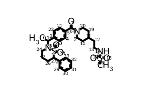 CC(c1ccc(C(=O)N2CCC(CCNS(C)(=O)=O)CC2)cc1)N1CCCC(c2ccccc2)S1(=O)=O